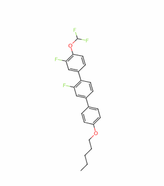 CCCCCOc1ccc(-c2ccc(-c3ccc(OC(F)F)c(F)c3)c(F)c2)cc1